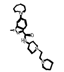 Cn1nc(C(=O)NC2CCN(CCN3CCCCC3)CC2)c2ccc(N3CCCCCC3)cc21